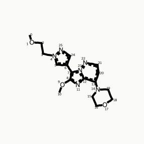 COCCn1cc(-c2c(OC)nc3c(N4CCOCC4)ccnn23)cn1